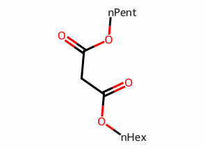 CCCCCCOC(=O)CC(=O)OCCCCC